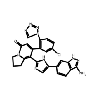 Nc1n[nH]c2cc(-c3cnc(-c4c(-c5cc(Cl)ccc5-n5cnnn5)cc(=O)n5c4CCC5)[nH]3)ccc12